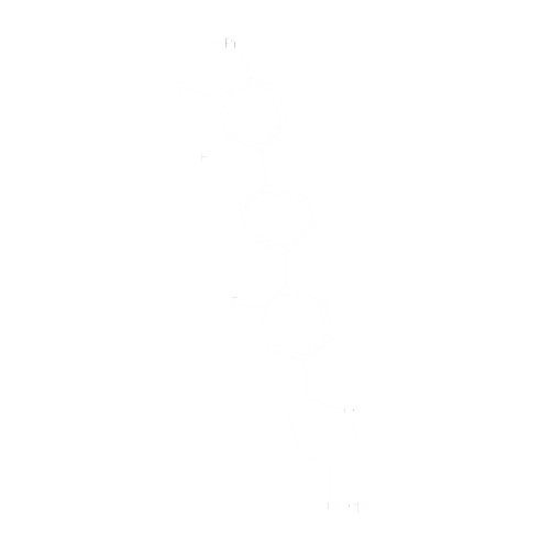 CCCCCCCC1CCC(c2ccc(-c3ccc(-c4ccc(CCC)c(F)c4F)cc3)c(F)c2)OC1